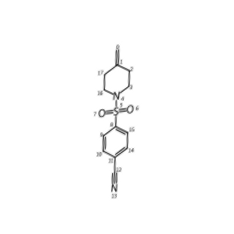 C=C1CCN(S(=O)(=O)c2ccc(C#N)cc2)CC1